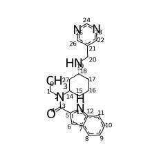 CCN(C(=O)c1cc2ccccc2[nH]1)C1CCC[C@@H](NCc2cncnc2)C1